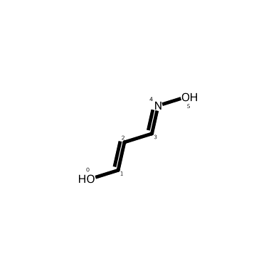 OC=CC=NO